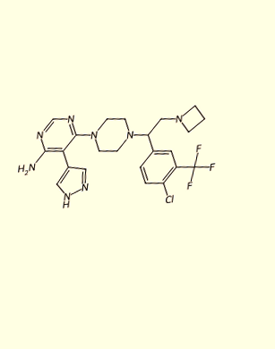 Nc1ncnc(N2CCN(C(CN3CCC3)c3ccc(Cl)c(C(F)(F)F)c3)CC2)c1-c1cn[nH]c1